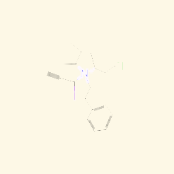 C#CC(I)[N+](CCc1ccccc1)(C(C)CC)C(C)CC.[Cl-]